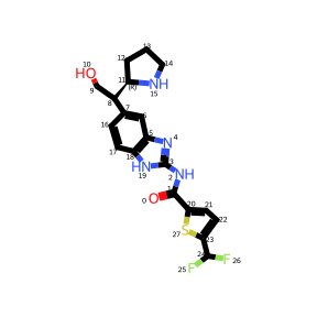 O=C(Nc1nc2cc(C(CO)[C@H]3CCCN3)ccc2[nH]1)c1ccc(C(F)F)s1